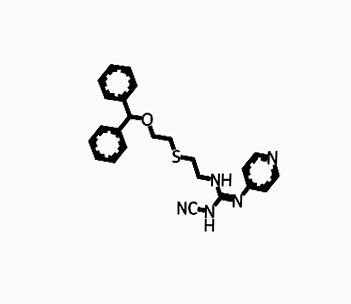 N#CN/C(=N/c1ccncc1)NCCSCCOC(c1ccccc1)c1ccccc1